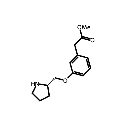 COC(=O)Cc1cccc(OC[C@@H]2CCCN2)c1